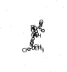 CC1(C)CCC(c2ccc(Cl)cc2)=C(CN2CCN(c3ccc(C(=O)NS(=O)(=O)c4ccc(C[C@H](CCN5CCOCC5)CSc5ccccc5)c(S(=O)(=O)C(F)(F)F)c4)cc3)CC2)C1